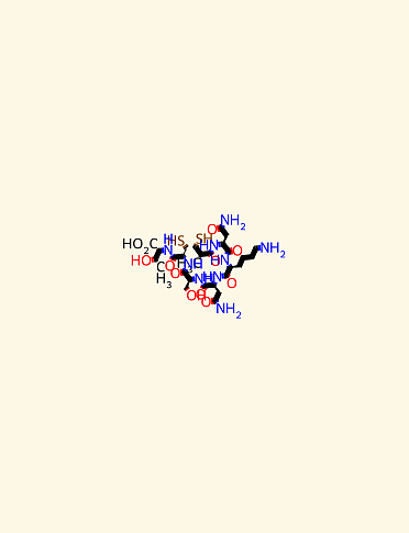 C[C@@H](CS)C(=O)N[C@@H](CC(N)=O)C(=O)N[C@@H](CCCCN)C(=O)N[C@@H](CC(N)=O)C(=O)N[C@@H](CO)C(=O)N[C@@H](CS)C(=O)N[C@H](C(=O)O)[C@@H](C)O